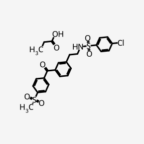 CCC(=O)O.CS(=O)(=O)c1ccc(C(=O)c2cccc(CCNS(=O)(=O)c3ccc(Cl)cc3)c2)cc1